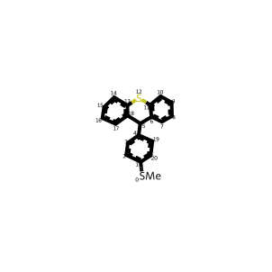 CSc1ccc(C2c3ccccc3Sc3ccccc32)cc1